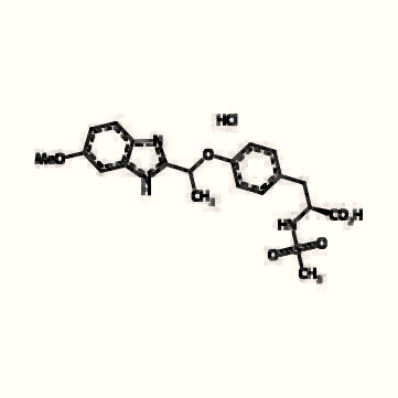 COc1ccc2nc(C(C)Oc3ccc(C[C@H](NS(C)(=O)=O)C(=O)O)cc3)[nH]c2c1.Cl